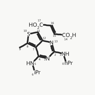 CCCNc1nc(NC(C)C)c2c(C)scc2n1.O=C(O)C=CC(=O)O